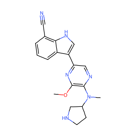 COc1nc(-c2c[nH]c3c(C#N)cccc23)cnc1N(C)C1CCNC1